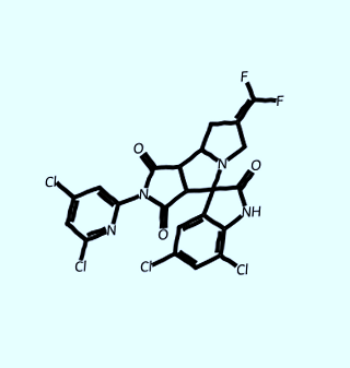 O=C1C2C3CC(=C(F)F)CN3C3(C(=O)Nc4c(Cl)cc(Cl)cc43)C2C(=O)N1c1cc(Cl)cc(Cl)n1